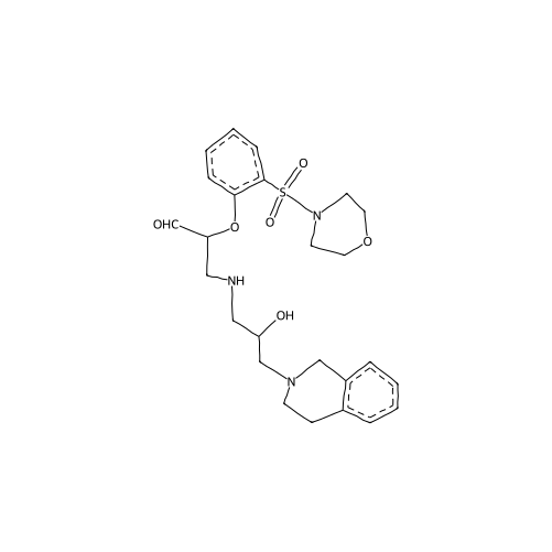 O=CC(CNCC(O)CN1CCc2ccccc2C1)Oc1ccccc1S(=O)(=O)N1CCOCC1